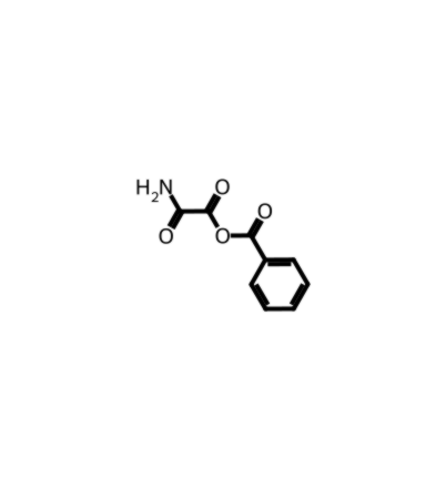 NC(=O)C(=O)OC(=O)c1ccccc1